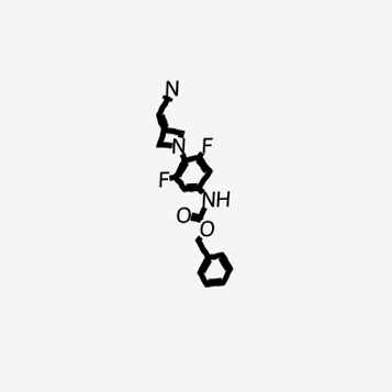 N#CC=C1CN(c2c(F)cc(NC(=O)OCc3ccccc3)cc2F)C1